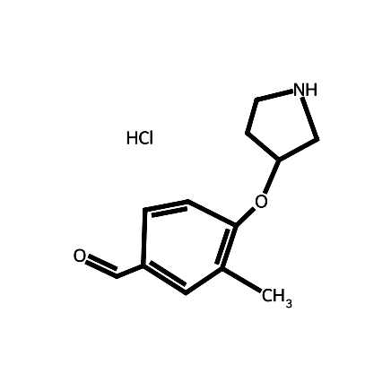 Cc1cc(C=O)ccc1OC1CCNC1.Cl